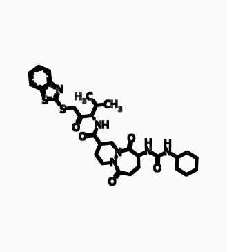 CC(C)[C@H](NC(=O)C1CCN2C(=O)CCC(NC(=O)NC3CCCCC3)C(=O)N2C1)C(=O)CSc1nc2ccccc2s1